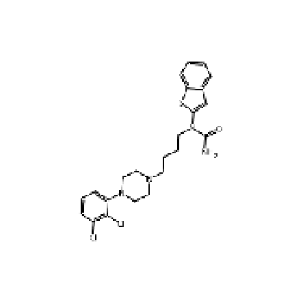 NC(=O)N(CCCCN1CCN(c2cccc(Cl)c2Cl)CC1)c1cc2ccccc2s1